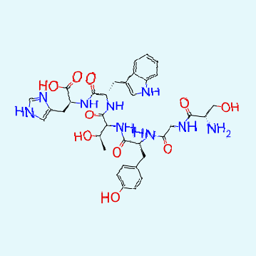 C[C@@H](O)[C@H](NC(=O)[C@H](Cc1ccc(O)cc1)NC(=O)CNC(=O)[C@@H](N)CO)C(=O)N[C@@H](Cc1c[nH]c2ccccc12)C(=O)N[C@@H](Cc1c[nH]cn1)C(=O)O